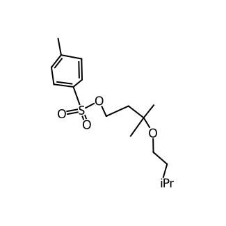 Cc1ccc(S(=O)(=O)OCCC(C)(C)OCCC(C)C)cc1